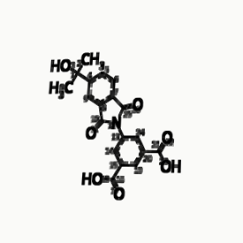 CC(C)(O)c1ccc2c(c1)C(=O)N(c1cc(C(=O)O)cc(C(=O)O)c1)C2=O